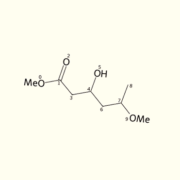 COC(=O)CC(O)CC(C)OC